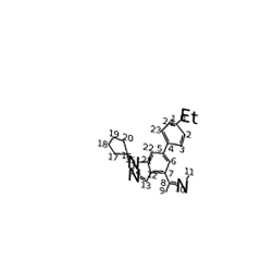 CCc1ccc(-c2cc(/C(C)=N\C)c3cnn(C4CCCC4)c3c2)cc1